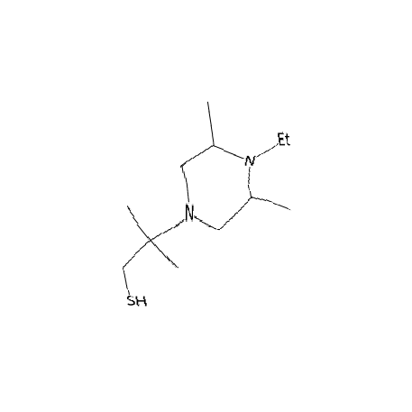 CCN1C(C)CN(C(C)(C)CS)CC1C